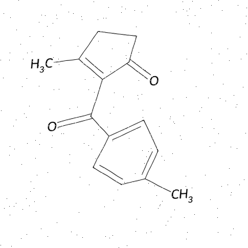 CC1=C(C(=O)c2ccc(C)cc2)C(=O)CC1